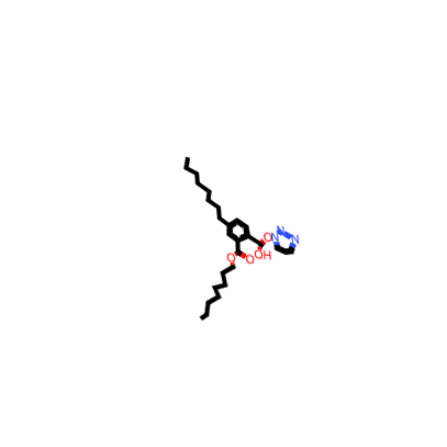 CCCCCCCCOC(=O)c1cc(CCCCCCCC)ccc1C(=O)O.c1cnnnc1